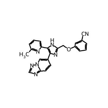 Cc1cccc(-c2[nH]c(COc3cccc(C#N)c3)nc2-c2ccc3ncnn3c2)n1